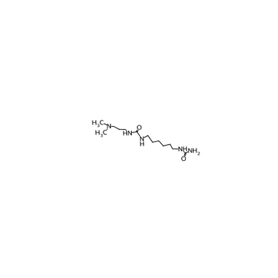 CN(C)CCCNC(=O)NCCCCCCNC(N)=O